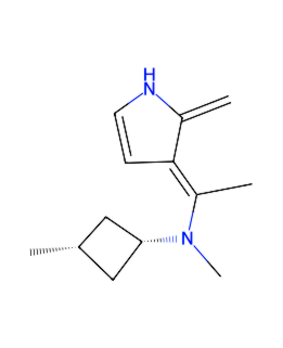 C=c1[nH]cc/c1=C(/C)N(C)[C@H]1C[C@@H](C)C1